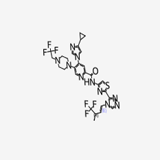 C[C@H](/C=C/n1cnnc1-c1nc(NC(=O)c2cc(-n3cnc(C4CC4)c3)c(N3CCN(CC(F)(F)F)CC3)cn2)cs1)C(F)(F)F